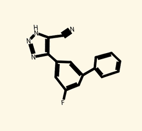 N#Cc1[nH]nnc1-c1cc(F)cc(-c2ccccc2)c1